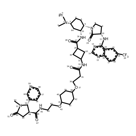 CC(C)N(C)[C@@H]1CC[C@H](N2CC[C@H](Nc3ncnc4ccc(C(F)(F)F)cc34)C2=O)[C@H](NC(=O)C2CC(NC(=O)CCOC3CCC(OCCNC(=O)[C@H]4CC(=O)N(C)[C@@H]4c4cccnc4)CC3)C2)C1